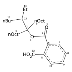 CCCCCCCCC(CCCCCCCC)(OC(=O)c1ccccc1C(=O)O)C(CC)CCCC